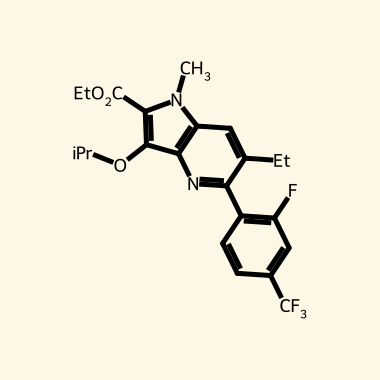 CCOC(=O)c1c(OC(C)C)c2nc(-c3ccc(C(F)(F)F)cc3F)c(CC)cc2n1C